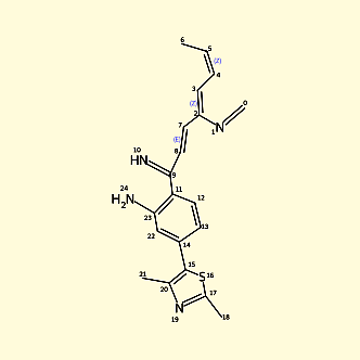 C=NC(=C\C=C/C)/C=C/C(=N)c1ccc(-c2sc(C)nc2C)cc1N